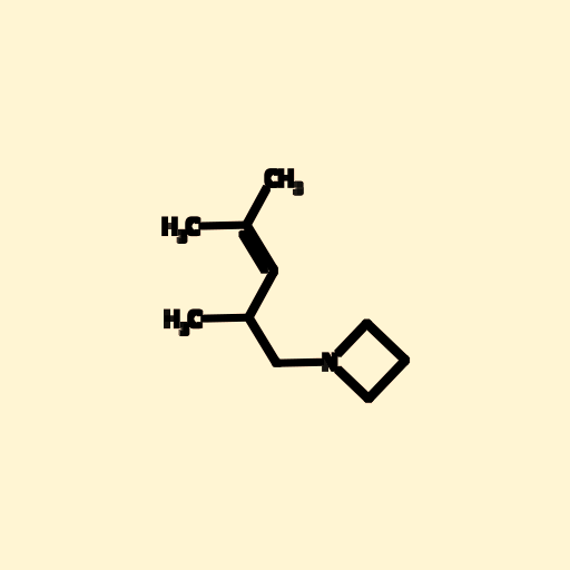 CC(C)=CC(C)CN1CCC1